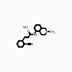 CN1CCc2c(cccc2NC(=O)/C=C/c2ccccc2C#N)C1.Cl